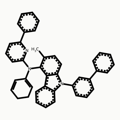 Cc1ccc2c(c1N(C1=CCCC=C1)c1cccc(-c3ccccc3)n1)c1ccccc1n2-c1cccc(-c2ccccc2)c1